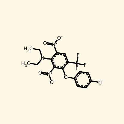 CCN(CC)c1c([N+](=O)[O-])cc(C(F)(F)F)c(Oc2ccc(Cl)cc2)c1[N+](=O)[O-]